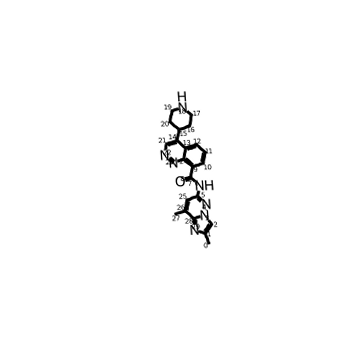 Cc1cn2nc(NC(=O)c3cccc4c(C5CCNCC5)cnnc34)cc(C)c2n1